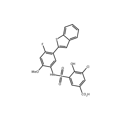 COc1cc(F)c(-c2cc3ccccc3s2)cc1NS(=O)(=O)c1cc(C(=O)O)cc(Cl)c1O